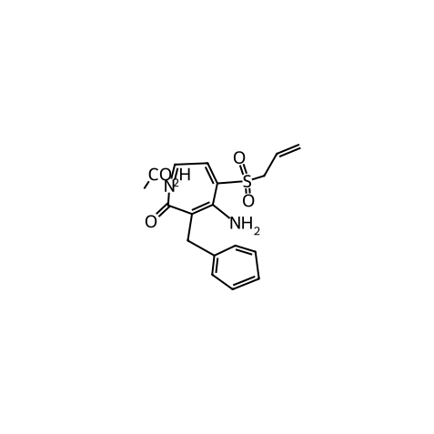 C=CCS(=O)(=O)c1ccnc(=O)c(Cc2ccccc2)c1N.CC(=O)O